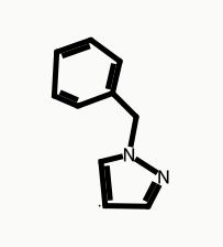 [c]1cnn(Cc2ccccc2)c1